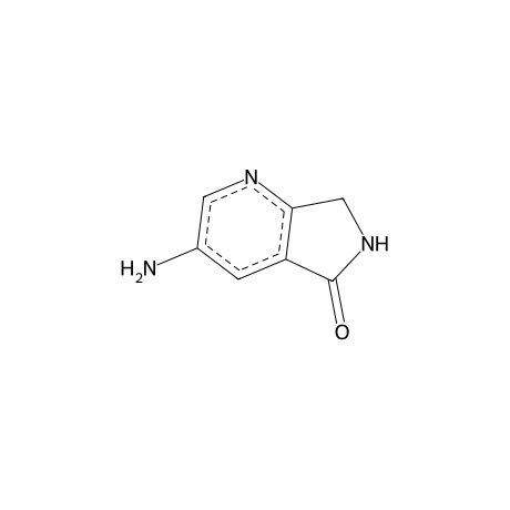 Nc1cnc2c(c1)C(=O)NC2